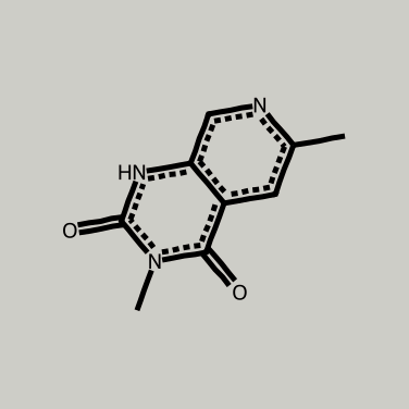 Cc1cc2c(=O)n(C)c(=O)[nH]c2cn1